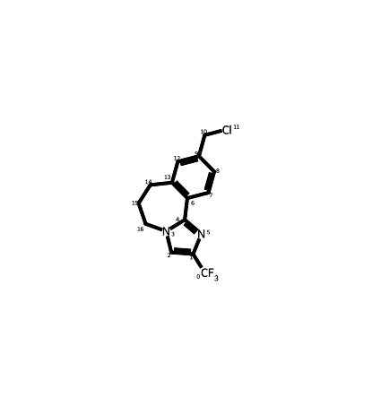 FC(F)(F)c1cn2c(n1)-c1ccc(CCl)cc1CCC2